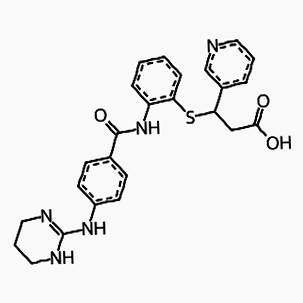 O=C(O)CC(Sc1ccccc1NC(=O)c1ccc(NC2=NCCCN2)cc1)c1cccnc1